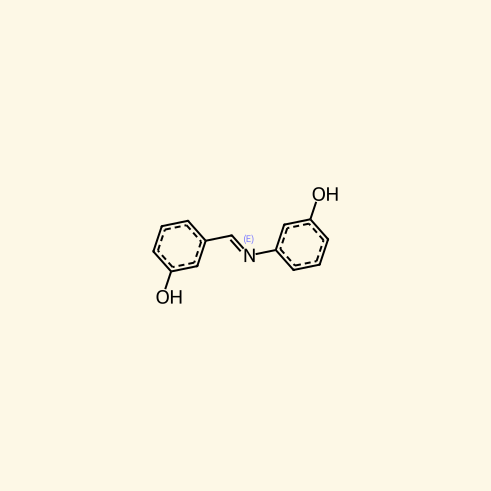 Oc1cccc(/C=N/c2cccc(O)c2)c1